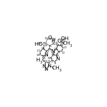 Cc1nnn(C)c1-c1cnc2c3ccc(C(C)(C)O)cc3n(C(c3ncccc3CO)C3CCOCC3)c2c1